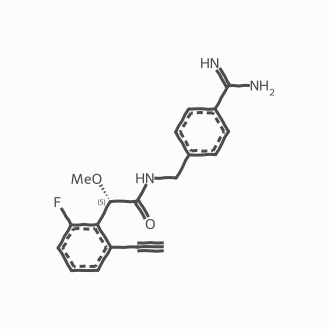 C#Cc1cccc(F)c1[C@H](OC)C(=O)NCc1ccc(C(=N)N)cc1